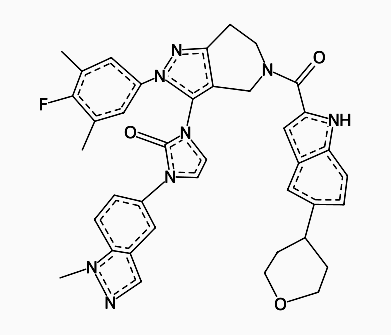 Cc1cc(-n2nc3c(c2-n2ccn(-c4ccc5c(cnn5C)c4)c2=O)CN(C(=O)c2cc4cc(C5CCOCC5)ccc4[nH]2)CC3)cc(C)c1F